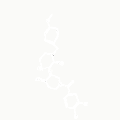 COc1ccc(CN2CCN/C(=C3/CN(C(=O)c4ccc(Cl)c(Cl)c4)CCC3=N)C2=O)cc1